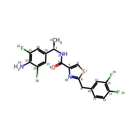 C[C@@H](NC(=O)c1csc(Cc2ccc(F)c(F)c2)n1)c1cc(F)c(N)c(F)c1